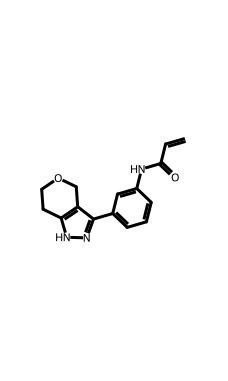 C=CC(=O)Nc1cccc(-c2n[nH]c3c2COCC3)c1